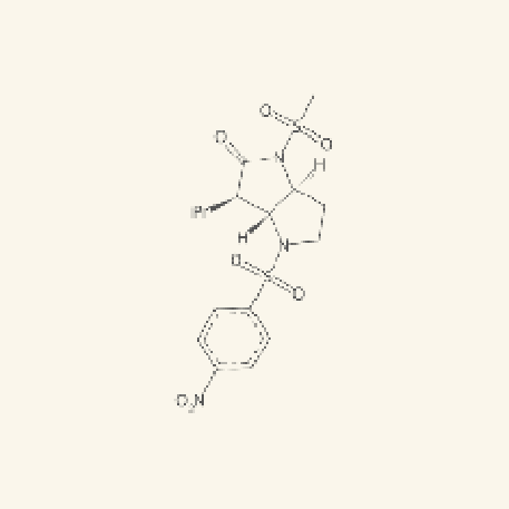 CC(C)[C@H]1C(=O)N(S(C)(=O)=O)[C@H]2CCN(S(=O)(=O)c3ccc([N+](=O)[O-])cc3)[C@H]12